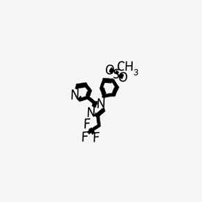 CS(=O)(=O)c1ccc(-n2cc(CC(F)(F)F)nc2-c2cccnc2)cc1